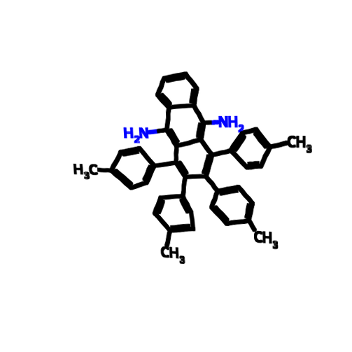 Cc1ccc(-c2c(-c3ccc(C)cc3)c(-c3ccc(C)cc3)c3c(N)c4ccccc4c(N)c3c2-c2ccc(C)cc2)cc1